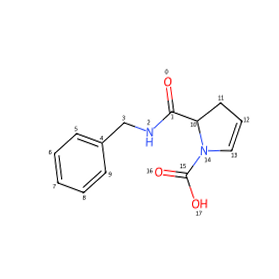 O=C(NCc1ccccc1)C1CC=CN1C(=O)O